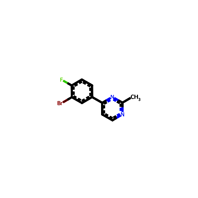 Cc1nccc(-c2ccc(F)c(Br)c2)n1